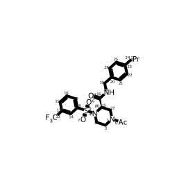 CC(=O)N1CCN(S(=O)(=O)c2cccc(C(F)(F)F)c2)[C@@H](C(=O)NCc2ccc(C(C)C)cc2)C1